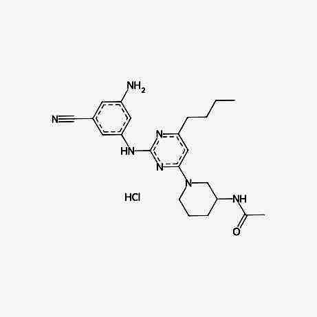 CCCCc1cc(N2CCCC(NC(C)=O)C2)nc(Nc2cc(N)cc(C#N)c2)n1.Cl